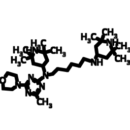 Cc1nc(N2CCOCC2)nc(N(CCCCCCNC2CC(C)(C)NC(C)(C)C2)C2CC(C)(C)NC(C)(C)C2)n1